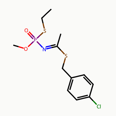 CCSP(=O)(N=C(C)SCc1ccc(Cl)cc1)OC